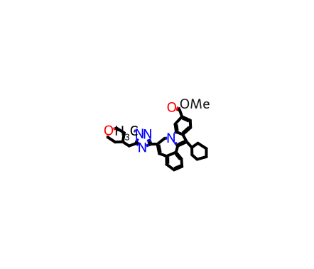 COC(=O)c1ccc2c(C3CCCCC3)c3n(c2c1)CC(c1nc(CC2CCOCC2)n(C)n1)=Cc1ccccc1-3